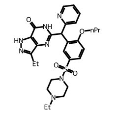 CCCOc1ccc(S(=O)(=O)N2CCN(CC)CC2)cc1C(c1ccccn1)c1nc2c(CC)n[nH]c2c(=O)[nH]1